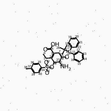 CCC1=C(C(=O)O)C[C@@H](O[Si](c2ccccc2)(c2ccccc2)C(C)(C)C)[C@@H](N)[C@H]1OS(=O)(=O)c1ccc(C)cc1